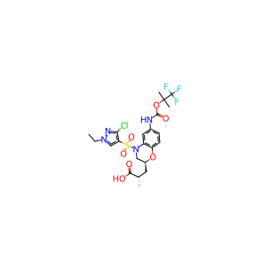 CCn1cc(S(=O)(=O)N2C[C@H](C[C@H](C)C(=O)O)Oc3ccc(NC(=O)OC(C)(C)C(F)(F)F)cc32)c(Cl)n1